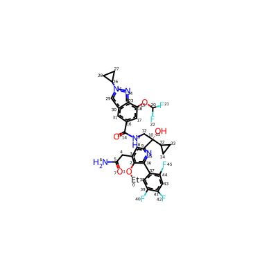 CCOc1c(CC(N)=O)cc([C@@](O)(CNC(=O)c2cc(OC(F)F)c3nn(C4CC4)cc3c2)C2CC2)nc1-c1cc(F)c(F)cc1F